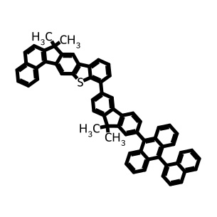 CC1(C)c2ccc(-c3cccc4c3sc3cc5c(cc34)C(C)(C)c3ccc4ccccc4c3-5)cc2-c2ccc(-c3c4ccccc4c(-c4cccc5ccccc45)c4ccccc34)cc21